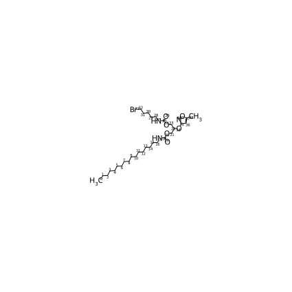 CCCCCCCCCCCCCCCCCNC(=O)OCC(COC(=O)NCCCCCBr)Oc1cc(C)on1